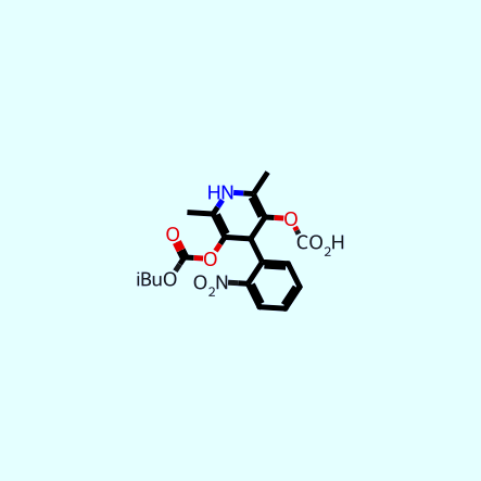 CC1=C(OC(=O)O)C(c2ccccc2[N+](=O)[O-])C(OC(=O)OCC(C)C)=C(C)N1